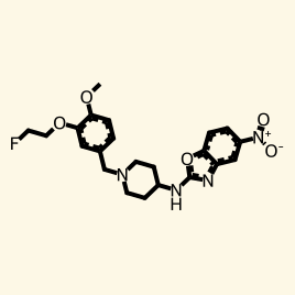 COc1ccc(CN2CCC(Nc3nc4cc([N+](=O)[O-])ccc4o3)CC2)cc1OCCF